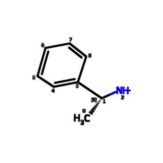 C[C@@H]([NH])c1ccccc1